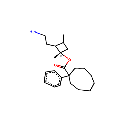 CC1C[C@](C)(OC(=O)C2(c3ccccc3)CCCCCCC2)C1CCN